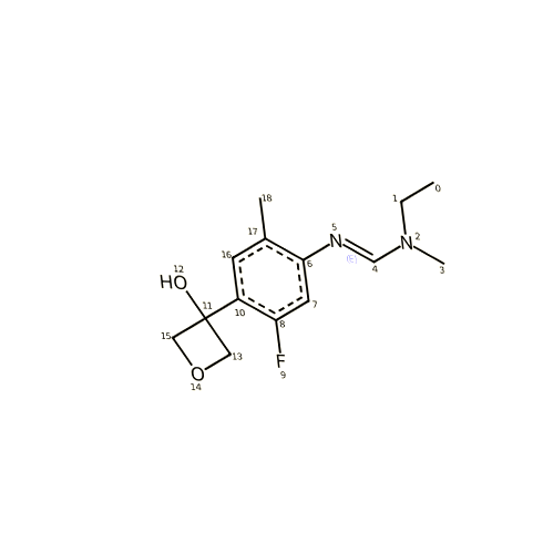 CCN(C)/C=N/c1cc(F)c(C2(O)COC2)cc1C